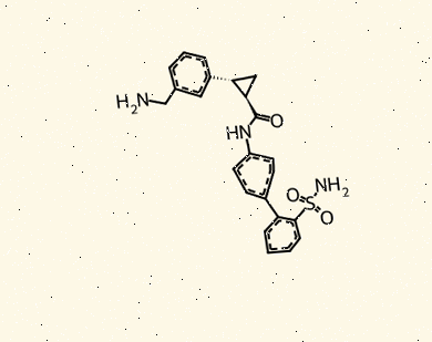 NCc1cccc([C@@H]2C[C@H]2C(=O)Nc2ccc(-c3ccccc3S(N)(=O)=O)cc2)c1